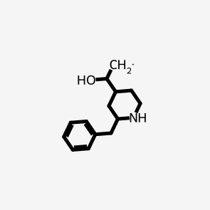 [CH2]C(O)C1CCNC(Cc2ccccc2)C1